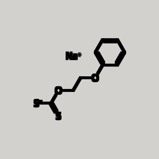 S=C([S-])OCCOc1ccccc1.[Na+]